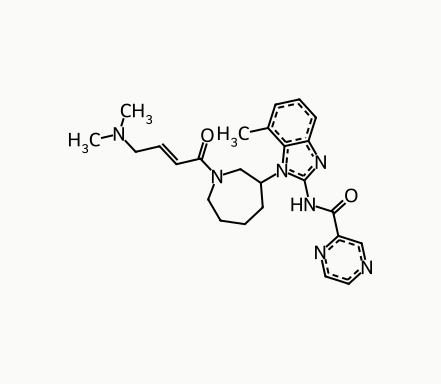 Cc1cccc2nc(NC(=O)c3cnccn3)n(C3CCCCN(C(=O)C=CCN(C)C)C3)c12